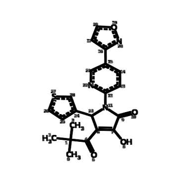 CC(C)(C)C(=O)C1=C(O)C(=O)N(c2ccc(-c3ccon3)cn2)C1c1ccsc1